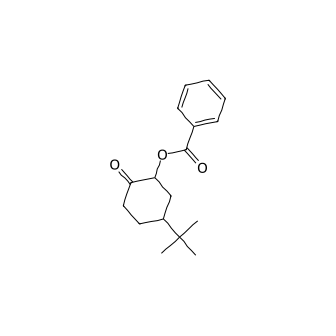 CC(C)(C)C1CCC(=O)C(OC(=O)c2ccccc2)C1